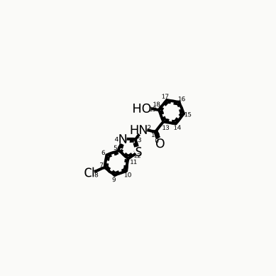 O=C(Nc1nc2cc(Cl)ccc2s1)c1ccccc1O